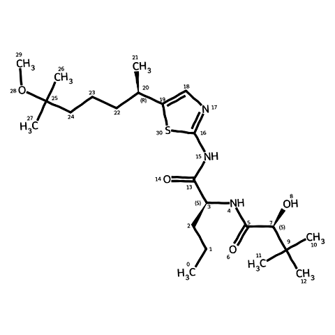 CCC[C@H](NC(=O)[C@@H](O)C(C)(C)C)C(=O)Nc1ncc([C@H](C)CCCC(C)(C)OC)s1